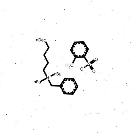 CCCCCCCCCCCCCC[N+](CCCC)(CCCC)Cc1ccccc1.Cc1ccccc1S(=O)(=O)[O-]